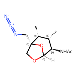 CC(=O)N[C@H]1[C@H]2OC[C@](CN=[N+]=[N-])(O2)[C@H](C)[C@@H]1C